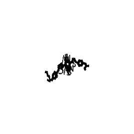 CCCCC(CC)Cc1ccc(-c2ccc(-c3c4c(c(-c5ccc(-c6ccc(CC(C)CC)cc6)s5)c5nsnc35)N=S=N4)s2)cc1